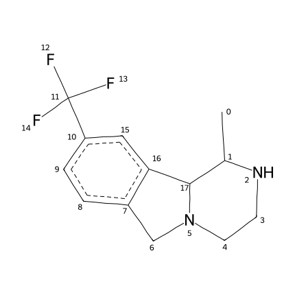 CC1NCCN2Cc3ccc(C(F)(F)F)cc3C12